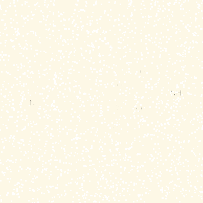 CN1CCc2cc(S(=O)(=O)OC(N)=O)ccc21